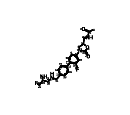 CC(=O)NCC1CN(c2ccc(-c3ccc(CNCC(N)CF)cc3)c(F)c2)C(=O)O1